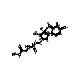 CC(C)OC(=O)CN[PH](=O)OC[C@H]1O[C@@H](n2ccc(=O)[nH]c2=O)[C@](C)(F)[C@@H]1O